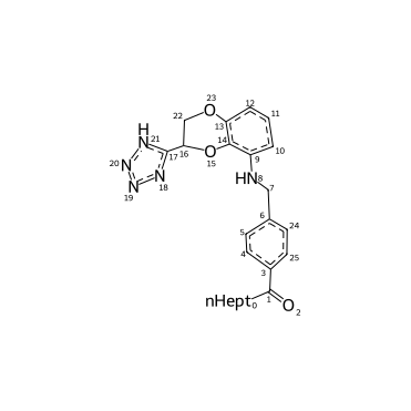 CCCCCCCC(=O)c1ccc(CNc2cccc3c2OC(c2nnn[nH]2)CO3)cc1